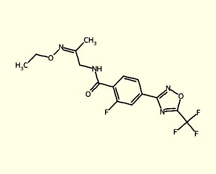 CCO/N=C(/C)CNC(=O)c1ccc(-c2noc(C(F)(F)F)n2)cc1F